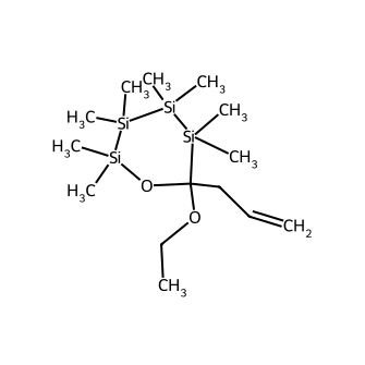 C=CCC1(OCC)O[Si](C)(C)[Si](C)(C)[Si](C)(C)[Si]1(C)C